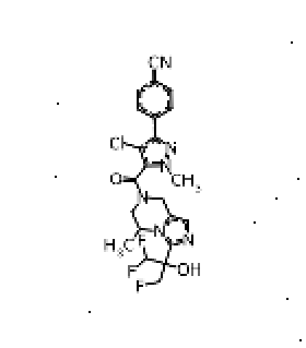 CC1CN(C(=O)c2c(Cl)c(-c3ccc(C#N)cc3)nn2C)Cc2cnc(C(O)(CF)C(F)F)n21